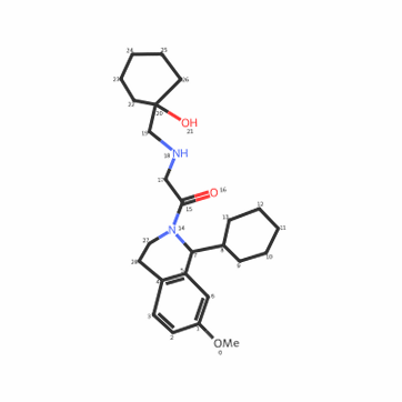 COc1ccc2c(c1)C(C1CCCCC1)N(C(=O)CNCC1(O)CCCCC1)CC2